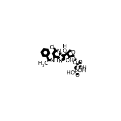 C[C@H](Nc1cc(Cl)nn2c([C@]3(O)CO[C@H](COP(=O)(O)CP(=O)(O)O)[C@H]3O)cnc12)c1ccccc1